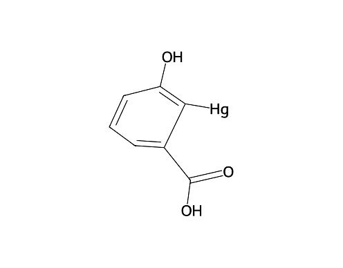 O=C(O)c1cccc(O)[c]1[Hg]